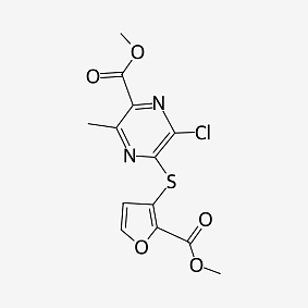 COC(=O)c1nc(Cl)c(Sc2ccoc2C(=O)OC)nc1C